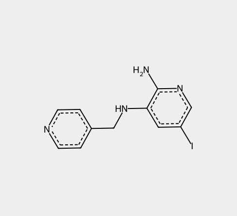 Nc1ncc(I)cc1NCc1ccncc1